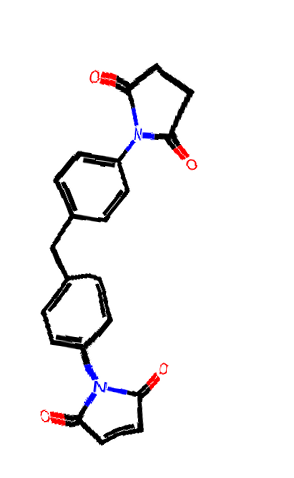 O=C1C=CC(=O)N1c1ccc(Cc2ccc(N3C(=O)CCC3=O)cc2)cc1